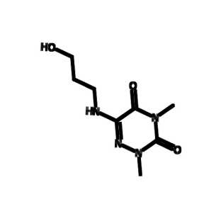 Cn1nc(NCCCO)c(=O)n(C)c1=O